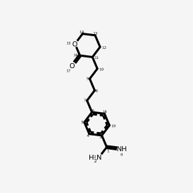 N=C(N)c1ccc(CCCCC2CCCOC2=O)cc1